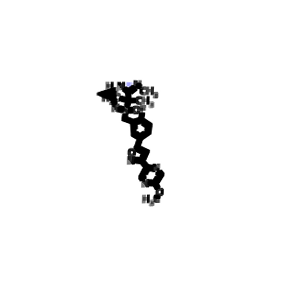 C/N=C(/N)C(C)(C)S(=O)(Cc1cc(-c2cc(-c3cnc(OC)cn3)no2)ccc1F)=NC1CC1